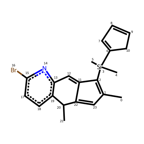 CC1=C([Si](C)(C)C2=CC=CC2)C2=Cc3nc(Br)ccc3C(C)C2=C1